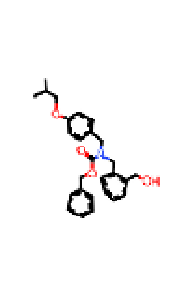 CC(C)COc1ccc(CN(Cc2ccccc2CO)C(=O)OCc2ccccc2)cc1